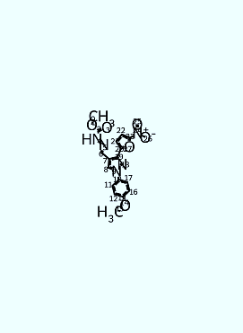 COC(=O)N/N=C/c1cn(-c2ccc(OC)cc2)nc1-c1ccc([N+](=O)[O-])o1